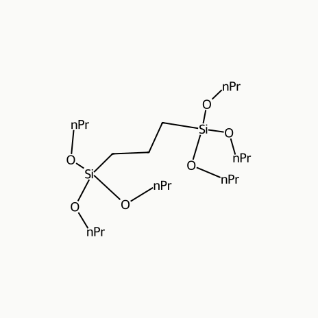 CCCO[Si](CCC[Si](OCCC)(OCCC)OCCC)(OCCC)OCCC